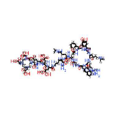 CC(C)NCCCCC(NC(=O)C1CCC(=O)NC(Cc2ccccc2)C(=O)NC(Cc2ccc(O)cc2)C(=O)NC(CCCCNC(C)C)C(=O)N[C@H](CCCNC(=N)N)C(=O)NC(Cc2ccc3ccccc3c2)C(=O)NCC(=O)N1)C(=O)NC(CCCCNC(=O)C(CCC(O)O)NC(=O)C(CCC(=O)O)NC(=O)[C@H](CCC(=O)O)NC(=O)CN1CCN(CC(=O)O)CCN(CC(=O)O)CCN(CC(=O)O)CC1)C(N)=O